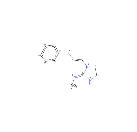 O=[N+]([O-])N=C1NCCN1C=COc1ccccc1